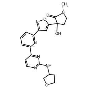 CN1CCC(O)(c2cc(-c3cccc(-c4ccnc(NC5CCOC5)n4)n3)no2)C1=O